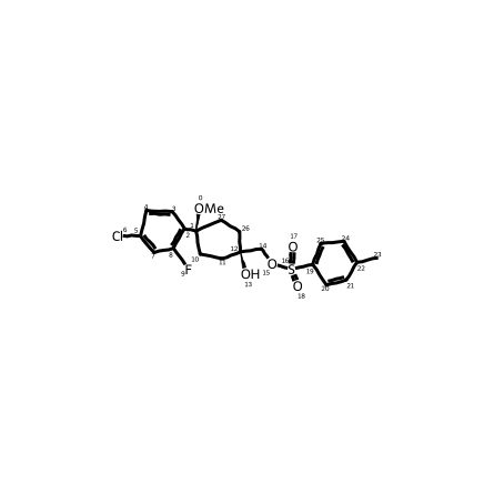 CO[C@]1(c2ccc(Cl)cc2F)CC[C@@](O)(COS(=O)(=O)c2ccc(C)cc2)CC1